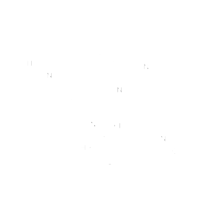 CN1CCC2(CC1)CCN(CC1(C#N)CC1)C(C1CC3(CCN(C)CC3)CCN1C(C)(C)CF)C2